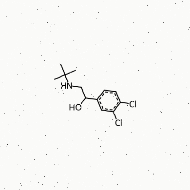 CC(C)(C)NCC(O)c1ccc(Cl)c(Cl)c1